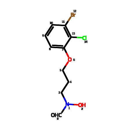 O=CN(O)CCCOc1cccc(Br)c1Cl